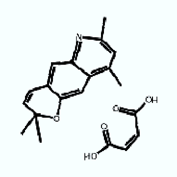 Cc1cc(C)c2cc3c(cc2n1)C=CC(C)(C)O3.O=C(O)/C=C\C(=O)O